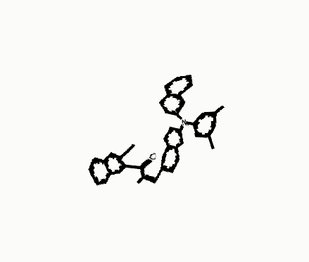 CC(=Cc1ccc2cc(N(c3cc(C)cc(C)c3)c3ccc4ccccc4c3)ccc2c1)C(=O)c1cc2ccccc2cc1C